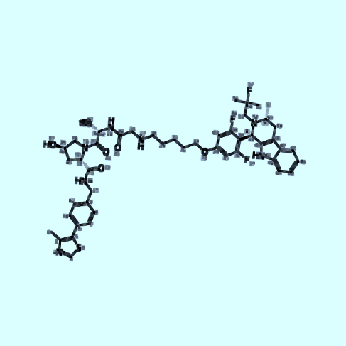 Cc1ncsc1-c1ccc(CNC(=O)[C@@H]2C[C@@H](O)CN2C(=O)[C@@H](NC(=O)CNCCCCCOc2cc(F)c([C@@H]3c4[nH]c5ccccc5c4C[C@@H](C)N3CC(C)(C)F)c(F)c2)C(C)(C)C)cc1